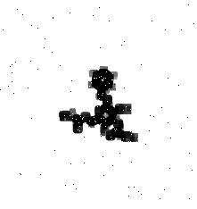 CC(C)(C)C(=O)OCC1OC(OCc2ccccc2)[C@@H](O)[C@@H](OC(=O)C(C)(C)C)[C@@H]1F